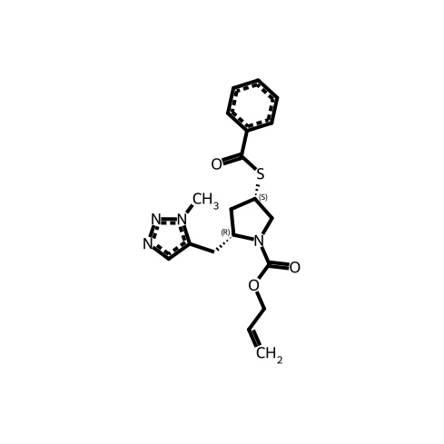 C=CCOC(=O)N1C[C@@H](SC(=O)c2ccccc2)C[C@H]1Cc1cnnn1C